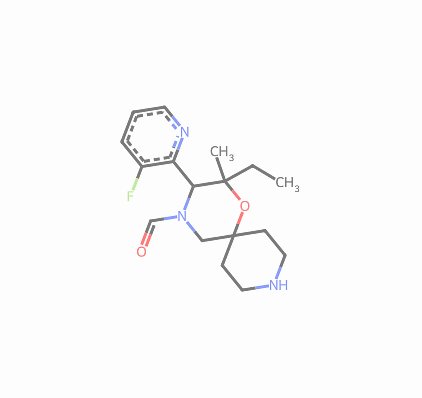 CCC1(C)OC2(CCNCC2)CN(C=O)C1c1ncccc1F